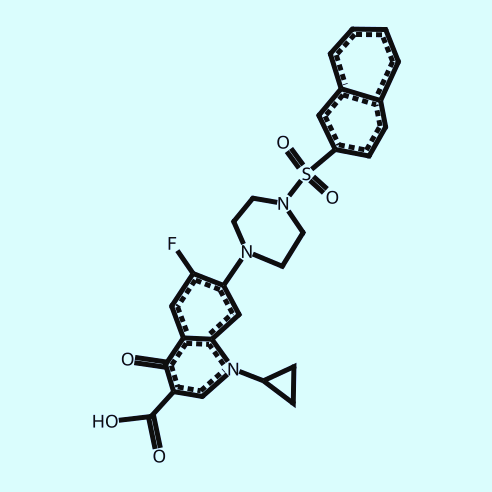 O=C(O)c1cn(C2CC2)c2cc(N3CCN(S(=O)(=O)c4ccc5ccccc5c4)CC3)c(F)cc2c1=O